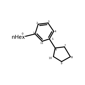 [CH2]CCCCCc1cccc(C2CCCC2)c1